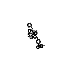 O=C(Cc1ccccc1)NC1(C(=O)OCc2ccc([N+](=O)[O-])cc2)CSC2CCN21